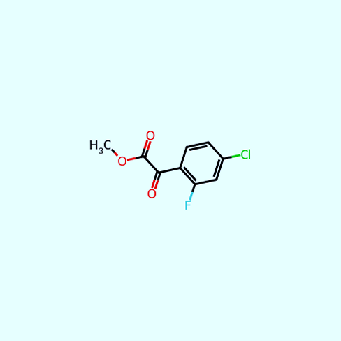 COC(=O)C(=O)c1ccc(Cl)cc1F